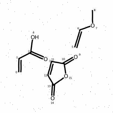 C=CC(=O)O.C=COC.O=C1C=CC(=O)O1